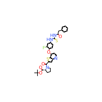 CC(C)(C)OC(=O)[C@@H]1CCCN1C(=O)c1cc2nccc(Oc3ccc(NC(=S)NC(=O)Cc4ccccc4)cc3F)c2s1